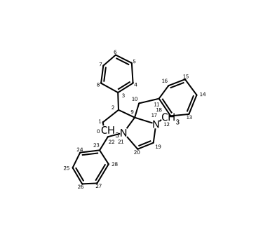 CCC(c1ccccc1)C1(Cc2ccccc2)N(C)C=CN1Cc1ccccc1